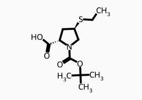 CCS[C@@H]1C[C@@H](C(=O)O)N(C(=O)OC(C)(C)C)C1